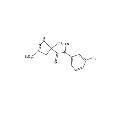 CCOC(=O)C1=NNC(C)(C(=O)N(C#N)c2cccc(C(F)(F)F)c2)C1